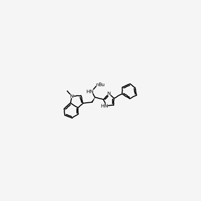 CCCCN[C@H](Cc1cn(C)c2ccccc12)c1nc(-c2ccccc2)c[nH]1